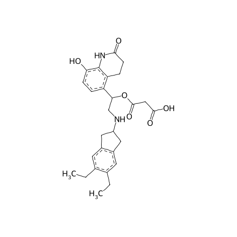 CCc1cc2c(cc1CC)CC(NCC(OC(=O)CC(=O)O)c1ccc(O)c3c1CCC(=O)N3)C2